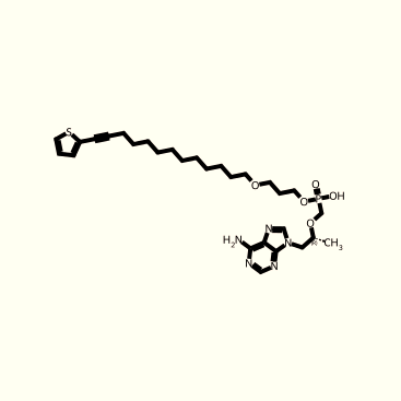 C[C@H](Cn1cnc2c(N)ncnc21)OCP(=O)(O)OCCCOCCCCCCCCCCCC#Cc1cccs1